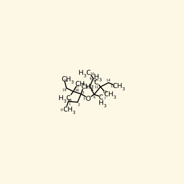 CCCC(C)(OC(C)(CCC)C(C)(C)CC)C(C)(C)CC